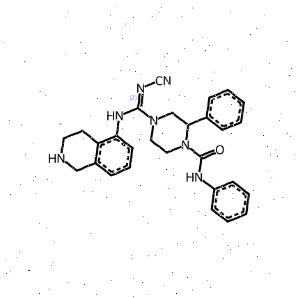 N#C/N=C(/Nc1cccc2c1CCNC2)N1CCN(C(=O)Nc2ccccc2)C(c2ccccc2)C1